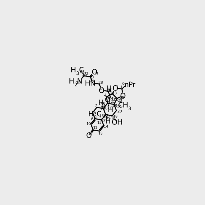 CCCC1O[C@@H]2C[C@H]3[C@@H]4CCC5=CC(=O)C=C[C@]5(C)[C@H]4[C@@H](O)C[C@]3(C)[C@]2(C(=O)COCNC(=O)[C@H](C)N)O1